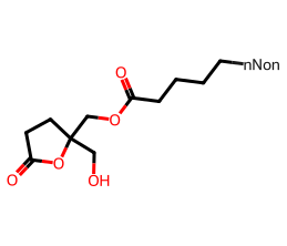 CCCCCCCCCCCCCC(=O)OCC1(CO)CCC(=O)O1